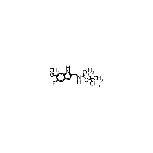 COc1cc2[nH]c(CNC(=O)OC(C)(C)C)cc2cc1F